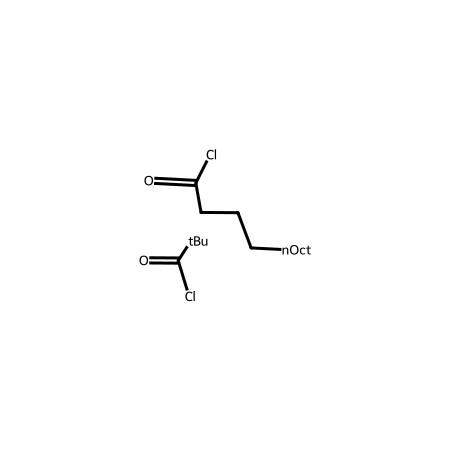 CC(C)(C)C(=O)Cl.CCCCCCCCCCCC(=O)Cl